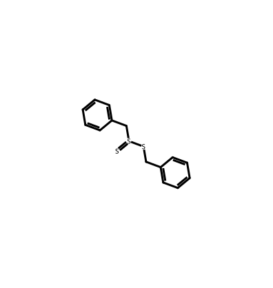 S=S(Cc1ccccc1)SCc1ccccc1